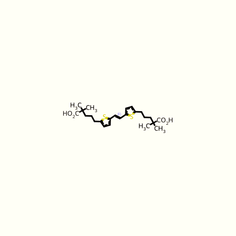 CC(C)(CCCc1ccc(/C=C/c2ccc(CCCC(C)(C)C(=O)O)s2)s1)C(=O)O